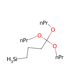 CCCOC(CCC[SiH3])(OCCC)OCCC